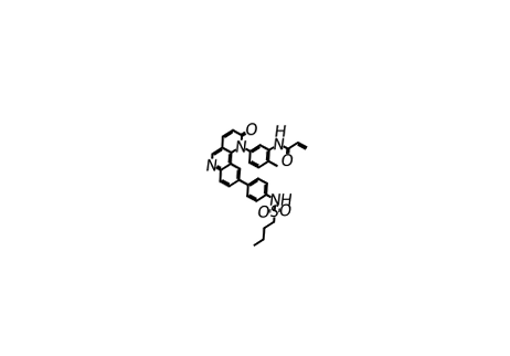 C=CC(=O)Nc1cc(-n2c(=O)ccc3cnc4ccc(-c5ccc(NS(=O)(=O)CCCC)cc5)cc4c32)ccc1C